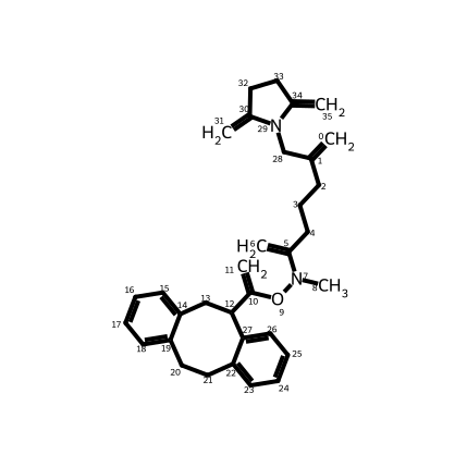 C=C(CCCC(=C)N(C)OC(=C)C1Cc2ccccc2CCc2ccccc21)CN1C(=C)CCC1=C